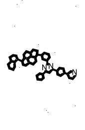 c1ccc(-c2cc(-c3ccc(-c4cccnc4)cc3)nc(-c3cccc(-c4ccc5ccc6c(-c7cccc8ccccc78)ccc7ccc4c5c76)c3)n2)cc1